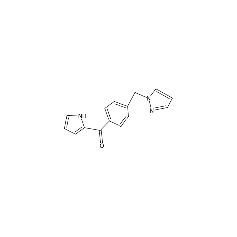 O=C(c1ccc(Cn2cccn2)cc1)c1ccc[nH]1